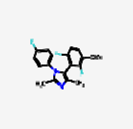 COc1ccc(F)c(-c2c(C)nc(C)n2-c2ccc(F)cc2)c1F